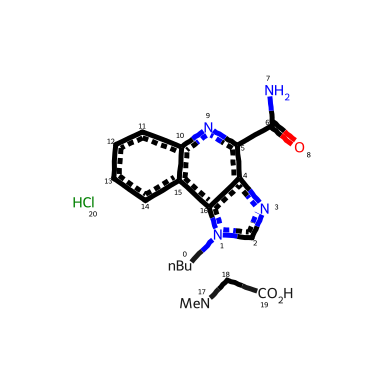 CCCCn1cnc2c(C(N)=O)nc3ccccc3c21.CNCC(=O)O.Cl